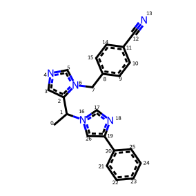 CC(c1cncn1Cc1ccc(C#N)cc1)n1cnc(-c2ccccc2)c1